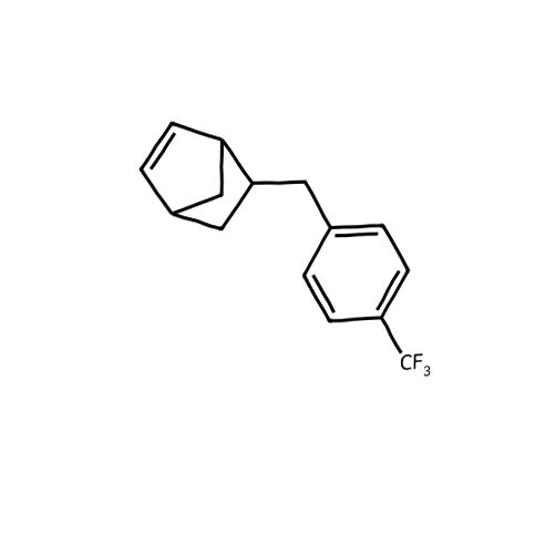 FC(F)(F)c1ccc(CC2CC3C=CC2C3)cc1